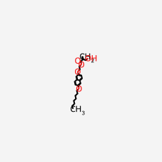 C=C(CO)C(=O)OCCOc1ccc2cc(OCCCCCCCC)ccc2c1